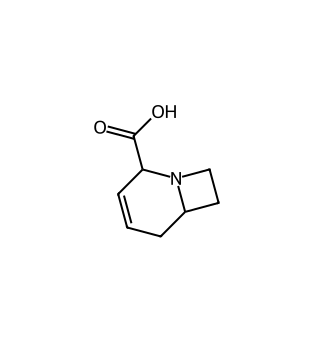 O=C(O)C1C=CCC2CCN21